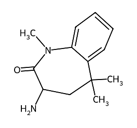 CN1C(=O)C(N)CC(C)(C)c2ccccc21